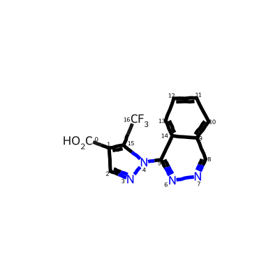 O=C(O)c1cnn(-c2nncc3ccccc23)c1C(F)(F)F